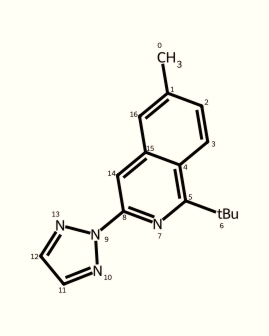 Cc1ccc2c(C(C)(C)C)nc(-n3nccn3)cc2c1